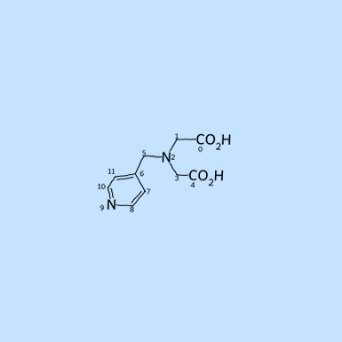 O=C(O)CN(CC(=O)O)Cc1ccncc1